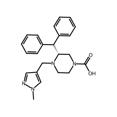 Cn1cc(CN2CCN(C(=O)O)C[C@H]2C(c2ccccc2)c2ccccc2)cn1